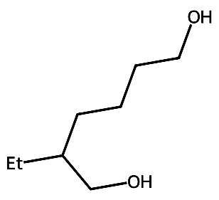 CCC(CO)CCCCO